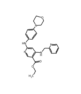 CCOC(=O)c1cnc(Nc2ccc(N3CCOCC3)cc2)cc1NCc1ccccn1